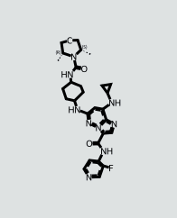 C[C@@H]1CCC[C@H](C)N1C(=O)NC1CCC(Nc2cc(NC3CC3)c3ncc(C(=O)Nc4ccncc4F)n3n2)CC1